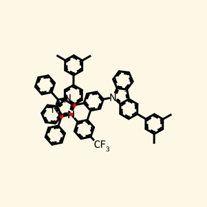 Cc1cc(C)cc(-c2ccc3c(c2)c2ccccc2n3-c2ccc(-c3nc(-c4ccccc4)nc(-c4ccccc4)n3)c(-c3cc(C(F)(F)F)ccc3-n3c4ccccc4c4cc(-c5cc(C)cc(C)c5)ccc43)c2)c1